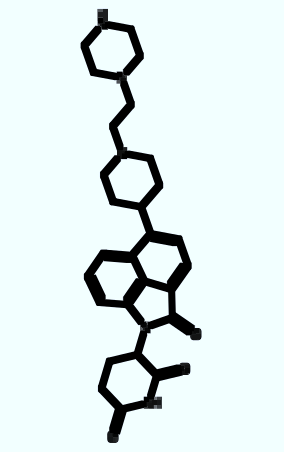 O=C1CCC(N2C(=O)c3ccc(C4CCN(CCN5CCNCC5)CC4)c4cccc2c34)C(=O)N1